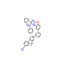 CC1(C)c2cc(C#N)ccc2-c2ccc(-c3cccc(-c4ccc5oc6nc7c8ccccc8nc(-c8ccccc8)c7n6c5c4)c3)cc21